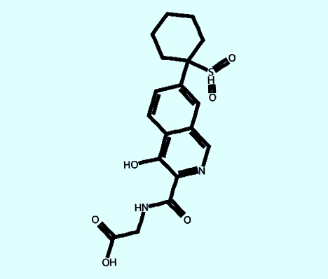 O=C(O)CNC(=O)c1ncc2cc(C3([SH](=O)=O)CCCCC3)ccc2c1O